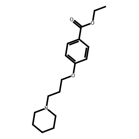 CCOC(=O)c1ccc(OCCCN2CCCCC2)cc1